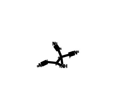 N#CC1NC1(C#N)C#N